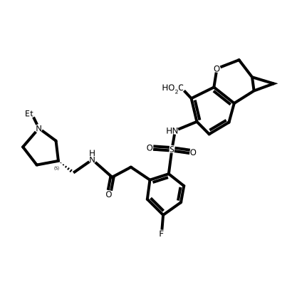 CCN1CC[C@@H](CNC(=O)Cc2cc(F)ccc2S(=O)(=O)Nc2ccc3c(c2C(=O)O)OCC2CC32)C1